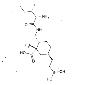 CC[C@H](C)[C@H](N)C(=O)NC[C@@H]1CC[C@@H](CCB(O)O)C[C@]1(N)C(=O)O